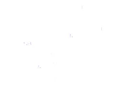 COCC(=O)N1CCCC(N)C1COC1CCN(c2cc(F)cc(F)c2)CC1